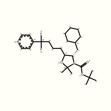 CC(C)(C)OC(=O)N1[C@@H](CC2CCCCC2)C(CCCC(F)(F)c2ccncc2)OC1(C)C